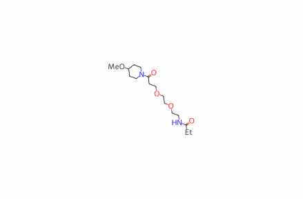 CCC(=O)NCCOCCOCCC(=O)N1CCC(OC)CC1